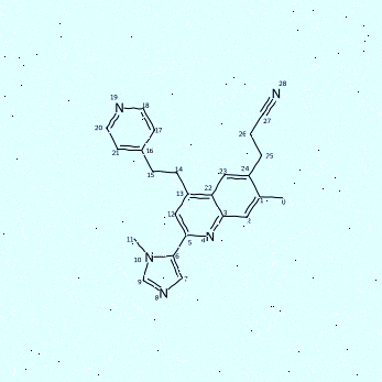 Cc1cc2nc(-c3cncn3C)cc(CCc3ccncc3)c2cc1CCC#N